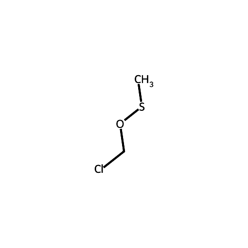 CSOCCl